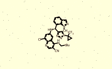 Cn1ncc2cccc([C@H](Nc3cc(Cl)c4ncc(C#N)c(NCC(C)(C)C)c4c3)c3cn(C4(C(F)(F)F)CC4)nn3)c21